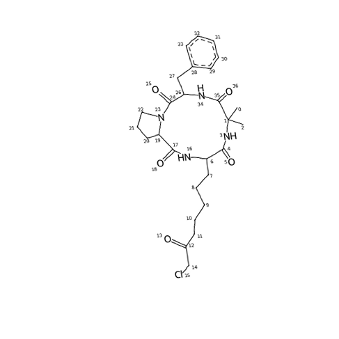 CC1(C)NC(=O)C(CCCCCC(=O)CCl)NC(=O)C2CCCN2C(=O)C(Cc2ccccc2)NC1=O